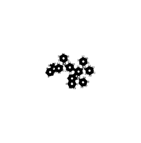 CC1(C)c2ccccc2-c2ccc(N(c3ccccc3)c3ccc(-c4cc(N(c5ccccc5)c5ccccc5)cc5c4c4ccc6ccccc6c4n5-c4ccccc4)cc3)cc21